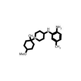 COC1CCC(C)(N2CCC(Nc3cc(C)ccc3N)CC2)CC1